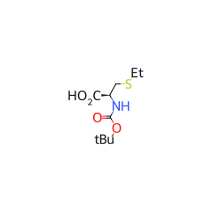 CCSC[C@@H](NC(=O)OC(C)(C)C)C(=O)O